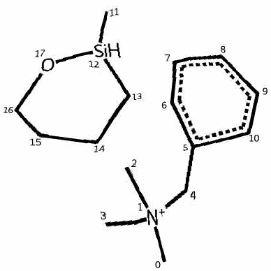 C[N+](C)(C)Cc1ccccc1.C[SiH]1CCCCO1